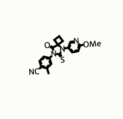 COc1ccc(N2C(=S)N(c3ccc(C#N)c(C)c3)C(=O)C23CCC3)cn1